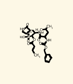 CCCC(=O)OC(C(C[C@@H]1CCNC1=O)NC(=O)C(CC(C)C)NC(=O)OCc1ccccc1)S(=O)(=O)O